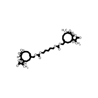 C=C1C(=O)O[C@H]2[C@H]1CC/C(COC(=O)OCCCCCOC(=O)OC/C1=C/CC[C@@]3(C)O[C@H]3[C@H]3OC(=O)C(=C)[C@@H]3CC1)=C\CC[C@@]1(C)O[C@@H]21